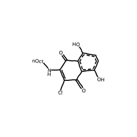 CCCCCCCCNC1=C(Cl)C(=O)c2c(O)ccc(O)c2C1=O